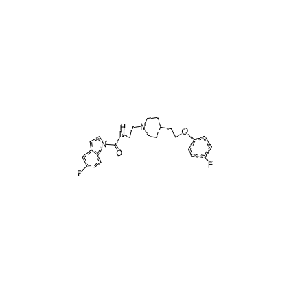 O=C(NCCN1CCC(CCOc2ccc(F)cc2)CC1)n1ccc2cc(F)ccc21